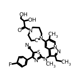 CCc1nn2cc(C)c(N3CCCN(C(=O)C(O)CO)CCC3)cc2c1N(C)c1nc(-c2ccc(F)cc2)c(C#N)s1